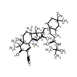 CC(=O)/C=C1/[C@@]2(C)C=C(C#N)C(=O)C(C)(C)[C@@H]2CC[C@@]1(C)C(C)(C)CC[C@@]1(CCC(=O)NC(C)(C)C)CCC(C)(C)CC1C